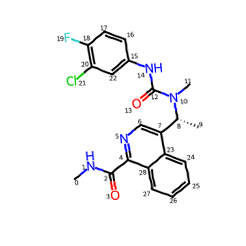 CNC(=O)c1ncc([C@@H](C)N(C)C(=O)Nc2ccc(F)c(Cl)c2)c2ccccc12